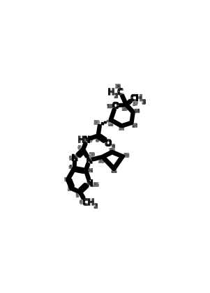 Cc1ccc2nc(NC(=O)C[C@H]3CCCC(C)(C)O3)n(C3CCC3)c2n1